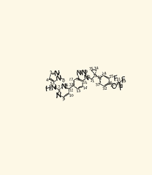 Cn1nccc1Nc1nccc(-c2ccc3c(c2)nnn3CC2(c3ccc(OC(F)(F)F)cc3)CC2)n1